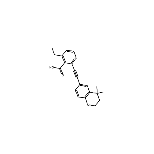 CCc1ccnc(C#Cc2ccc3c(c2)C(C)(C)CCS3)c1C(=O)O